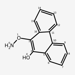 NOc1c(O)c2ccccc2c2ccccc12